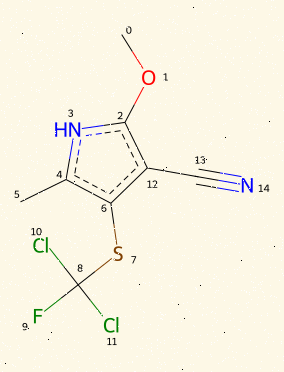 COc1[nH]c(C)c(SC(F)(Cl)Cl)c1C#N